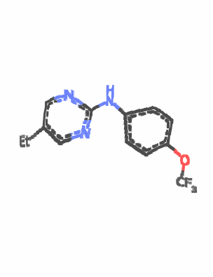 CCc1cnc(Nc2ccc(OC(F)(F)F)cc2)nc1